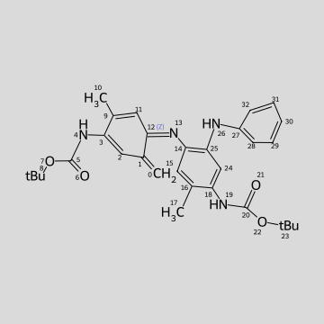 C=C1C=C(NC(=O)OC(C)(C)C)C(C)=C/C1=N/c1cc(C)c(NC(=O)OC(C)(C)C)cc1Nc1ccccc1